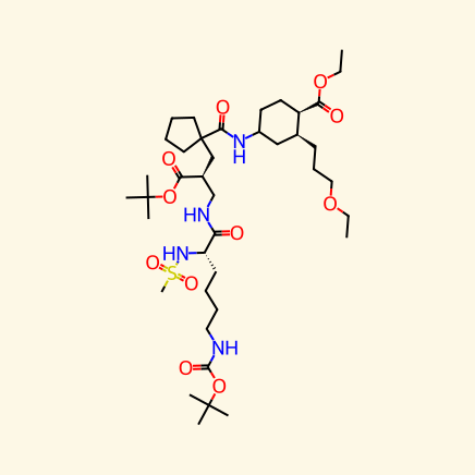 CCOCCC[C@H]1CC(NC(=O)C2(C[C@@H](CNC(=O)[C@H](CCCCNC(=O)OC(C)(C)C)NS(C)(=O)=O)C(=O)OC(C)(C)C)CCCC2)CC[C@H]1C(=O)OCC